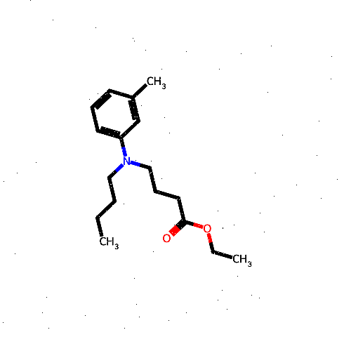 CCCCN(CCCC(=O)OCC)c1cccc(C)c1